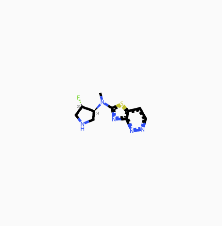 CN(c1nc2nnccc2s1)[C@H]1CNC[C@@H]1F